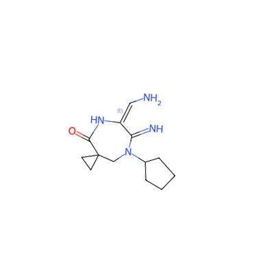 N=C1/C(=C\N)NC(=O)C2(CC2)CN1C1CCCC1